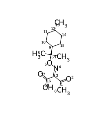 CC(=O)C(=NOC(C)(C)[C@H]1CC[C@H](C)CC1)C(=O)O